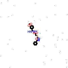 N=C(NOC(=O)CSc1nnc(-c2ccccc2)o1)c1ccc2c(c1)OCO2